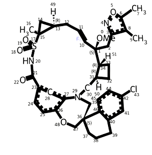 CO[C@]1(Cc2noc(C)c2C)/C=C/C[C@@H]2C[C@@]2(C)S(=O)(=O)NC(=O)c2ccc3c(c2)N(C[C@@H]2CC[C@H]21)C[C@@]1(CCCc2cc(Cl)ccc21)CO3